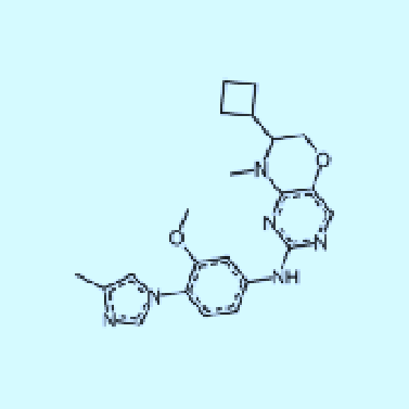 COc1cc(Nc2ncc3c(n2)N(C)C(C2CCC2)CO3)ccc1-n1cnc(C)c1